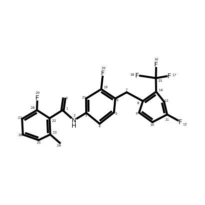 C=C(Nc1ccc(Cc2ccc(F)cc2C(F)(F)F)c(F)c1)c1c(C)cccc1F